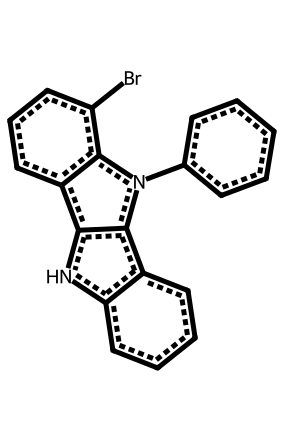 Brc1cccc2c3[nH]c4ccccc4c3n(-c3ccccc3)c12